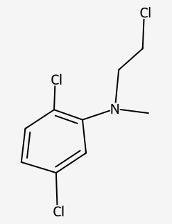 CN(CCCl)c1cc(Cl)ccc1Cl